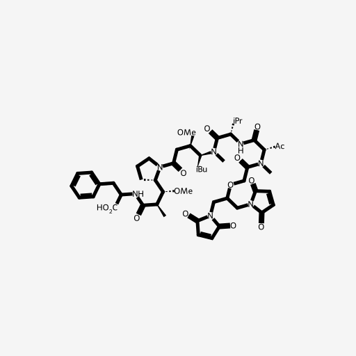 CC[C@H](C)[C@@H]([C@@H](CC(=O)N1CCC[C@H]1[C@H](OC)[C@@H](C)C(=O)NC(Cc1ccccc1)C(=O)O)OC)N(C)C(=O)[C@@H](NC(=O)[C@H](C(C)=O)N(C)C(=O)COC(CN1C(=O)C=CC1=O)CN1C(=O)C=CC1=O)C(C)C